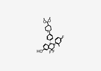 COC(OC)C1CCN(c2ccc([C@H]3c4ccc(O)cc4C(F)(F)C[C@H]3c3ccc(F)cc3C)cc2)CC1